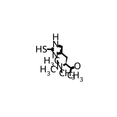 CC(=O)[C@H](Cc1c[nH]c(S)n1)[N+](C)(C)C